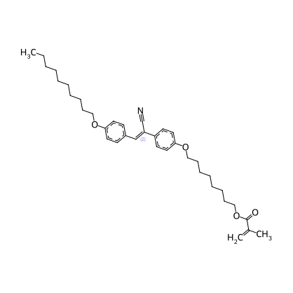 C=C(C)C(=O)OCCCCCCCCOc1ccc(/C(C#N)=C/c2ccc(OCCCCCCCCCC)cc2)cc1